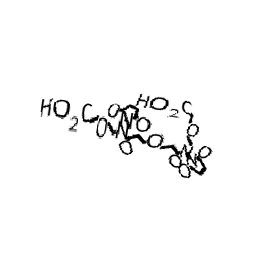 O=C(O)CCOCCN(C(=O)CCOCCC(=O)N(CCOCCC(=O)O)N1C(=O)CCC1=O)N1C(=O)CCC1=O